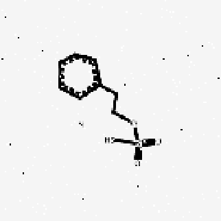 O=S(=O)(S)OCCc1ccccc1.[Ni]